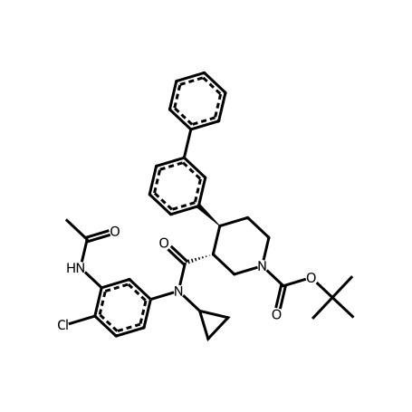 CC(=O)Nc1cc(N(C(=O)[C@H]2CN(C(=O)OC(C)(C)C)CC[C@@H]2c2cccc(-c3ccccc3)c2)C2CC2)ccc1Cl